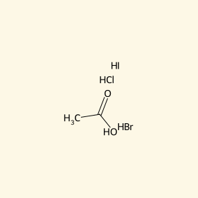 Br.CC(=O)O.Cl.I